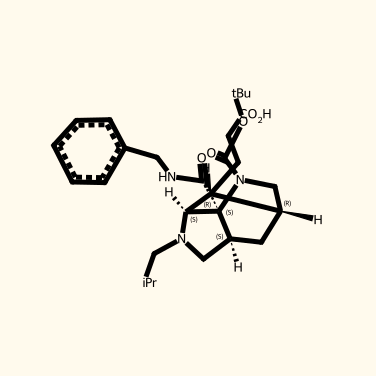 CC(C)CN1C[C@@H]2C[C@H]3CN(C(=O)OC(C)(C)C)[C@]2(C(=O)NCc2ccccc2)[C@@H]1[C@@H]3CCC(=O)O